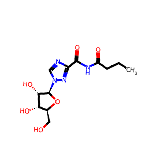 CCCC(=O)NC(=O)c1ncn([C@H]2O[C@@H](CO)[C@H](O)[C@@H]2O)n1